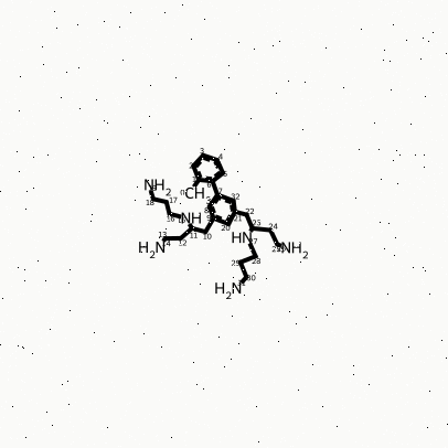 Cc1ccccc1-c1cc(CC(CCN)NCCCN)cc(CC(CCN)NCCCN)c1